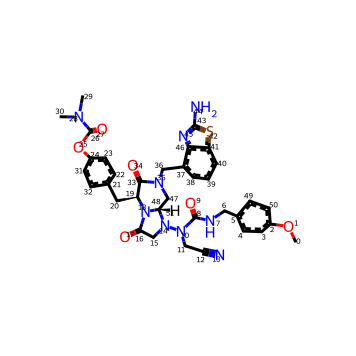 COc1ccc(CNC(=O)N(CC#N)N2CC(=O)N3[C@@H](Cc4ccc(OC(=O)N(C)C)cc4)C(=O)N(Cc4cccc5sc(N)nc45)C[C@@H]32)cc1